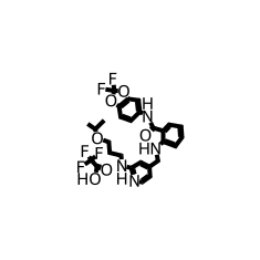 CC(C)OCCCNc1cc(CNc2ccccc2C(=O)Nc2ccc3c(c2)OC(F)(F)O3)ccn1.O=C(O)C(F)(F)F